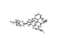 Cc1cccc(F)c1-c1cc2c(-c3cn(N4CCN(C(C)(C)C)CC4)nc3C)cnc(N)c2cc1C#N